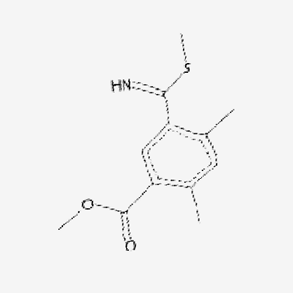 COC(=O)c1cc(C(=N)SC)c(C)cc1C